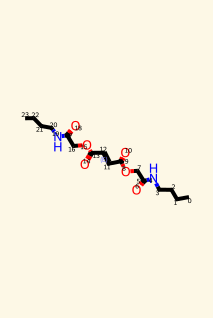 CCCCNC(=O)COC(=O)/C=C/C(=O)OCC(=O)NCCCC